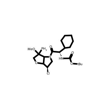 COC1(P)COC2C1N(C(=O)[C@@H](NC(=O)OC(C)(C)C)C1CCCCC1)C[C@H]2Cl